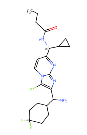 NC(c1nc2nc([C@H](NC(=O)CCC(F)(F)F)C3CC3)ccn2c1F)C1CCC(F)(F)CC1